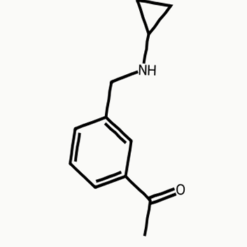 CC(=O)c1cccc(CNC2CC2)c1